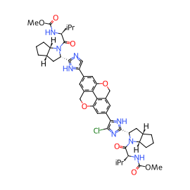 COC(=O)N[C@H](C(=O)N1[C@H](c2ncc(-c3cc4c5c(c3)OCc3cc(-c6[nH]c([C@@H]7C[C@@H]8CCC[C@@H]8N7C(=O)[C@@H](NC(=O)OC)C(C)C)nc6Cl)cc(c3-5)OC4)[nH]2)C[C@@H]2CCC[C@@H]21)C(C)C